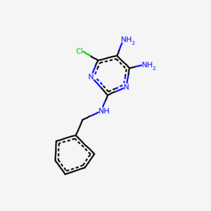 Nc1nc(NCc2ccccc2)nc(Cl)c1N